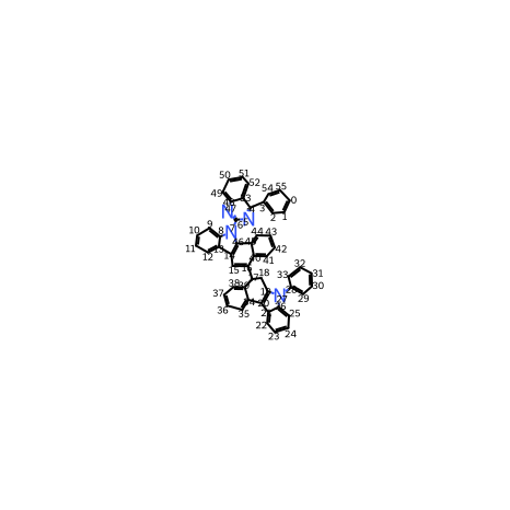 c1ccc(-c2nc(-n3c4ccccc4c4cc(C5Cc6c(c7ccccc7n6-c6ccccc6)-c6ccccc65)c5ccccc5c43)nc3ccccc23)cc1